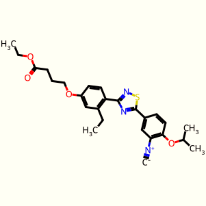 [C-]#[N+]c1cc(-c2nc(-c3ccc(OCCCC(=O)OCC)cc3CC)ns2)ccc1OC(C)C